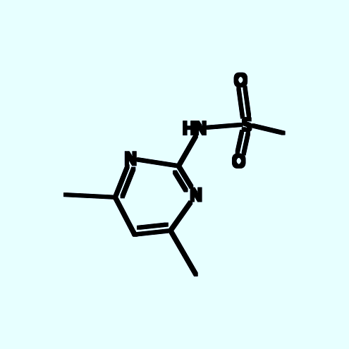 Cc1cc(C)nc(NS(C)(=O)=O)n1